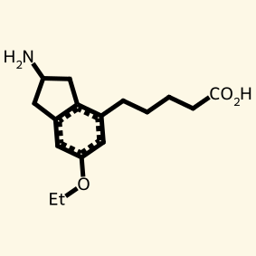 CCOc1cc(CCCCC(=O)O)c2c(c1)CC(N)C2